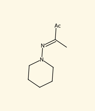 CC(=O)/C(C)=N/N1CCCCC1